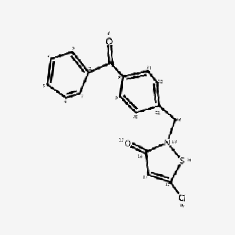 O=C(c1ccccc1)c1ccc(Cn2sc(Cl)cc2=O)cc1